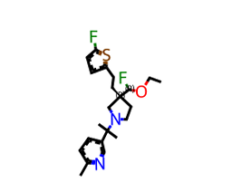 CCO[C@H](F)[C@]1(CCc2ccc(F)s2)CCN(C(C)(C)c2ccc(C)nc2)C1